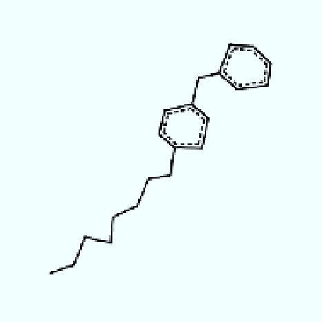 CCCCCCCCc1ccc([CH]c2ccccc2)cc1